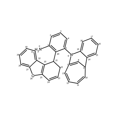 Nc1cccc(N2C3=CC(C=CC=C3)c3ccccc32)c1C1CC=Cc2oc3ccccc3c21